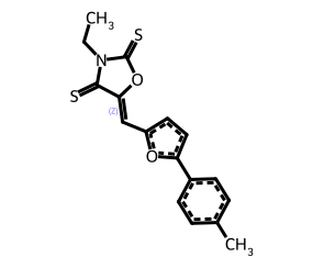 CCN1C(=S)O/C(=C\c2ccc(-c3ccc(C)cc3)o2)C1=S